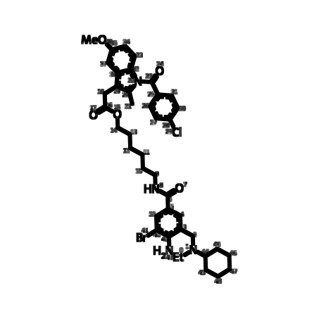 CCN(Cc1cc(C(=O)NCCCCCCOC(=O)Cc2c(C)n(C(=O)c3ccc(Cl)cc3)c3ccc(OC)cc23)cc(Br)c1N)C1CCCCC1